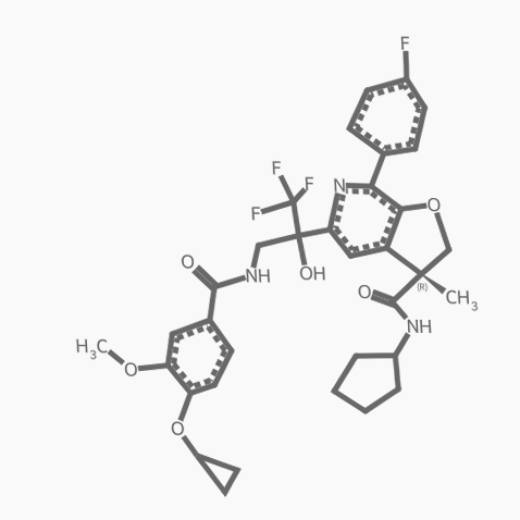 COc1cc(C(=O)NCC(O)(c2cc3c(c(-c4ccc(F)cc4)n2)OC[C@]3(C)C(=O)NC2CCCC2)C(F)(F)F)ccc1OC1CC1